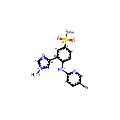 CCc1ccc(Nc2ccc(S(=O)(=O)NC)cc2-c2cn(C)cn2)nc1